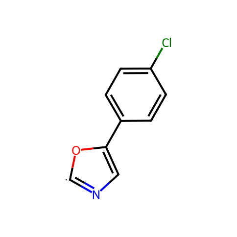 Clc1ccc(-c2cn[c]o2)cc1